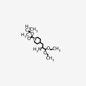 CCOC(OCC)C(N)CC1CCN(C(=O)OC(C)(C)C)CC1